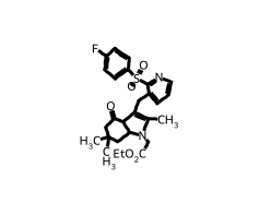 CCOC(=O)CN1C(C)=C(Cc2cccnc2S(=O)(=O)c2ccc(F)cc2)C2C(=O)CC(C)(C)CC21